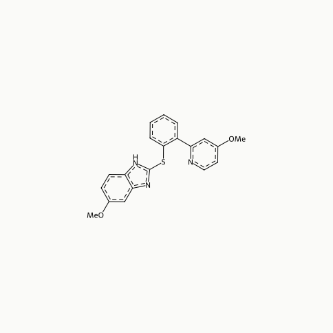 COc1ccnc(-c2ccccc2Sc2nc3cc(OC)ccc3[nH]2)c1